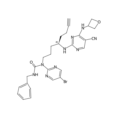 C#CCC[C@H](CCCN(C(=O)NCc1ccccc1)c1ncc(Br)cn1)Nc1ncc(C#N)c(NC2COC2)n1